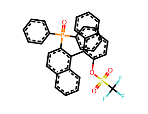 O=P(c1ccccc1)(c1ccccc1)c1ccc2ccccc2c1-c1c(OS(=O)(=O)C(F)(F)F)ccc2ccccc12